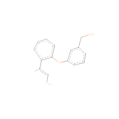 COC=C(C(=O)O)c1ccccc1Oc1cccc(CO)c1